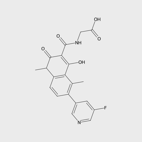 Cc1c(-c2cncc(F)c2)ccc2c1C(O)=C(C(=O)NCC(=O)O)C(=O)C2C